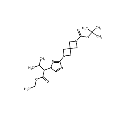 CCOC(=O)C(C(C)C)n1cnc(N2CC3(CN(C(=O)OC(C)(C)C)C3)C2)n1